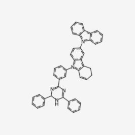 C1=Cc2c(c3cc(-n4c5ccccc5c5ccccc54)ccc3n2-c2cccc(C3=NC(c4ccccc4)NC(c4ccccc4)=N3)c2)CC1